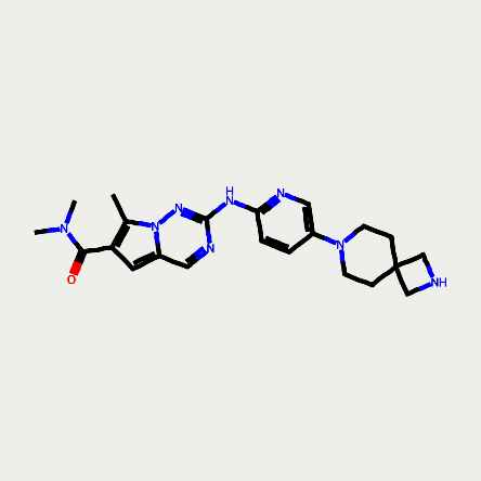 Cc1c(C(=O)N(C)C)cc2cnc(Nc3ccc(N4CCC5(CC4)CNC5)cn3)nn12